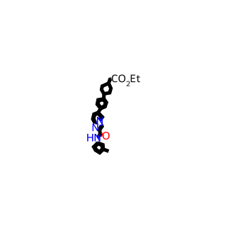 CCOC(=O)CC1CCC(c2ccc(-c3ccc4nc(C(=O)Nc5cccc(C)c5)cn4c3)cc2)CC1